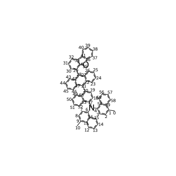 Cc1ccc(N(c2ccc(C)c3ccccc23)c2ccc(-c3c4ccccc4c(-c4cccc5c4oc4ccccc45)c4ccccc34)c3ccccc23)c2ccccc12